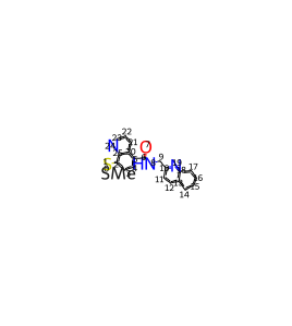 CSSc1ccc(C(=O)NCc2ccc3ccccc3n2)c2cccnc12